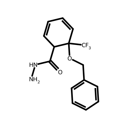 NNC(=O)C1C=CC=CC1(OCc1ccccc1)C(F)(F)F